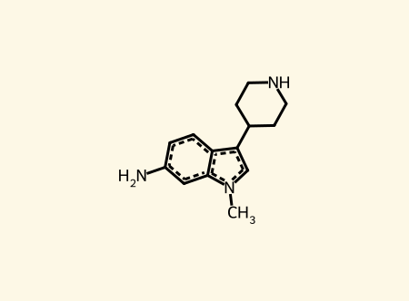 Cn1cc(C2CCNCC2)c2ccc(N)cc21